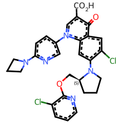 O=C(O)c1cn(-c2ccc(N3CCC3)nc2)c2cc(N3CCC[C@H]3COc3ncccc3Cl)c(Cl)cc2c1=O